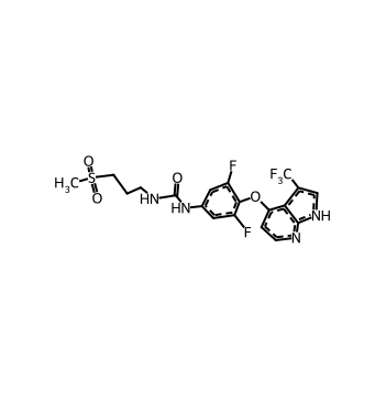 CS(=O)(=O)CCCNC(=O)Nc1cc(F)c(Oc2ccnc3[nH]cc(C(F)(F)F)c23)c(F)c1